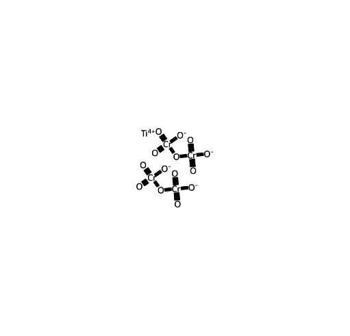 [O]=[Cr](=[O])([O-])[O][Cr](=[O])(=[O])[O-].[O]=[Cr](=[O])([O-])[O][Cr](=[O])(=[O])[O-].[Ti+4]